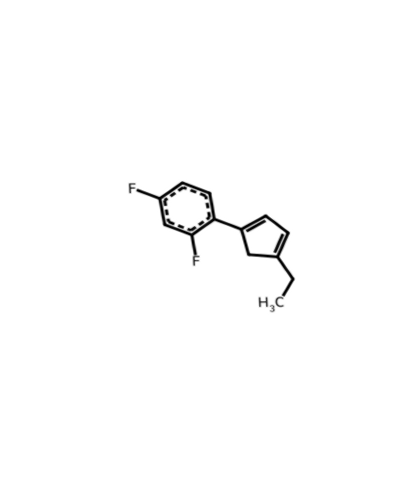 CCC1=CC=C(c2ccc(F)cc2F)C1